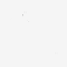 CCCCCOC1CCN([C@H](C)C(C)C)CC1